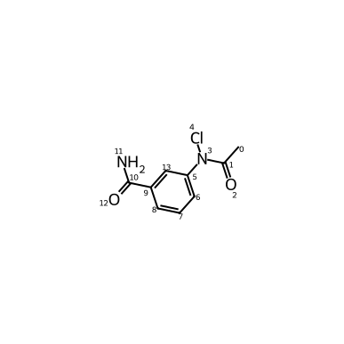 CC(=O)N(Cl)c1cccc(C(N)=O)c1